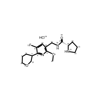 COc1nc(C2CCCOC2)c(F)cc1CNC(=O)[C@@H]1CCCN1.Cl